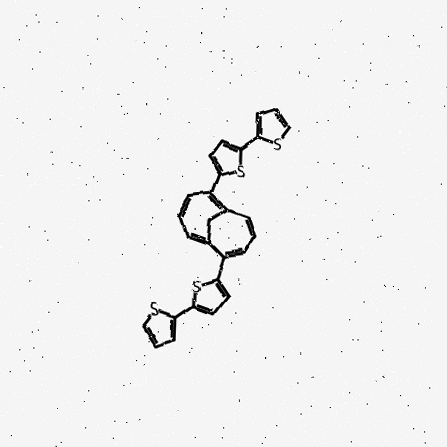 C1=CC2=C(c3ccc(-c4cccs4)s3)C=CC=C(C2)C(c2ccc(-c3cccs3)s2)=C1